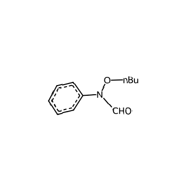 CCCCON([C]=O)c1ccccc1